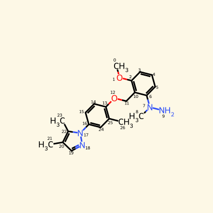 COc1cccc(N(C)N)c1COc1ccc(-n2ncc(C)c2C)cc1C